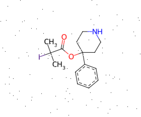 CC(C)(I)C(=O)OC1(c2ccccc2)CCNCC1